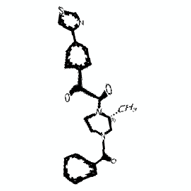 C[C@@H]1CN(C(=O)c2ccccc2)CCN1C(=O)C(=O)c1ccc(-c2cscn2)cc1